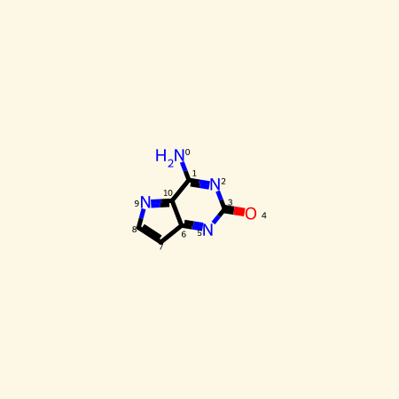 NC1=NC(=O)N=C2C=CN=C12